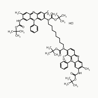 Cc1cc2nc3cc(C)c(N(CCCCCCCCN(C(=O)OC(C)(C)C)c4ccc5nc6cc(C)c(NC(=O)OC(C)(C)C)cc6[n+](-c6ccccc6)c5c4C)C(=O)OC(C)(C)C)cc3[n+](-c3ccccc3)c2cc1NC(=O)OC(C)(C)C.Cl